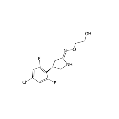 OCCO/N=C1/C[C@H](c2c(F)cc(Cl)cc2F)CN1